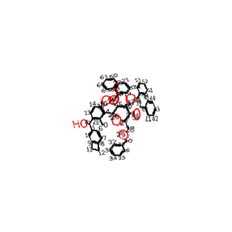 Cc1c(C(O)c2ccc3c(c2)CC3)ccc(OCc2ccccc2)c1[C@@H]1O[C@H](COCc2ccccc2)[C@@H](OCc2ccccc2)[C@H](OCc2ccccc2)[C@H]1OCc1ccccc1